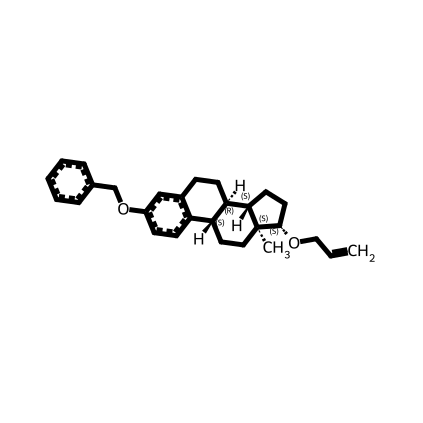 C=CCO[C@H]1CC[C@H]2[C@@H]3CCc4cc(OCc5ccccc5)ccc4[C@H]3CC[C@]12C